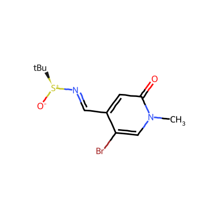 Cn1cc(Br)c(C=N[S@@+]([O-])C(C)(C)C)cc1=O